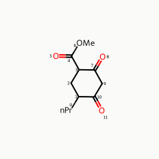 CCCC1CC(C(=O)OC)C(=O)CC1=O